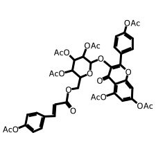 CC(=O)Oc1ccc(C=CC(=O)OCC2OC(Oc3c(-c4ccc(OC(C)=O)cc4)oc4cc(OC(C)=O)cc(OC(C)=O)c4c3=O)C(OC(C)=O)C(OC(C)=O)C2OC(C)=O)cc1